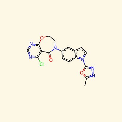 Cc1nnc(-n2ccc3cc(N4CCOc5ncnc(Cl)c5C4=O)ccc32)o1